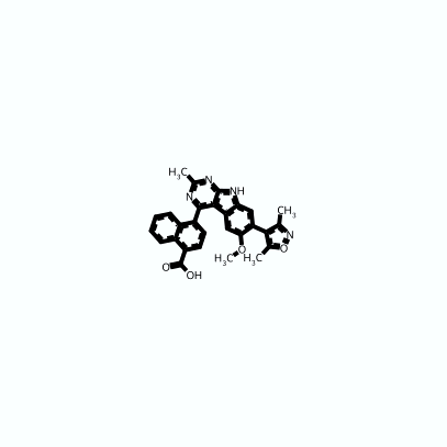 COc1cc2c(cc1-c1c(C)noc1C)[nH]c1nc(C)nc(-c3ccc(C(=O)O)c4ccccc34)c12